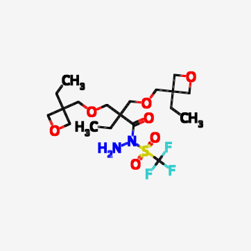 CCC1(COCC(CC)(COCC2(CC)COC2)C(=O)N(N)S(=O)(=O)C(F)(F)F)COC1